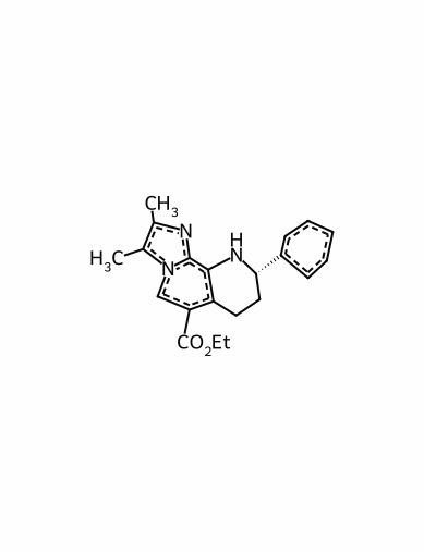 CCOC(=O)c1cn2c(C)c(C)nc2c2c1CC[C@@H](c1ccccc1)N2